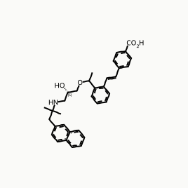 CC(OC[C@@H](O)CNC(C)(C)Cc1ccc2ccccc2c1)c1ccccc1C=Cc1ccc(C(=O)O)cc1